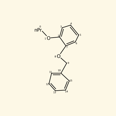 CCCOc1ccccc1OCc1ccccc1